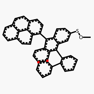 COSc1ccc2c(-c3ccc4ccc5cccc6ccc3c4c56)c3ccccc3c(-c3ccccc3-c3ccccc3)c2c1